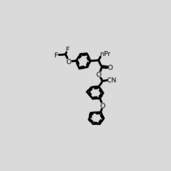 CCCC(C(=O)OC(C#N)c1cccc(Oc2ccccc2)c1)c1ccc(OC(F)F)cc1